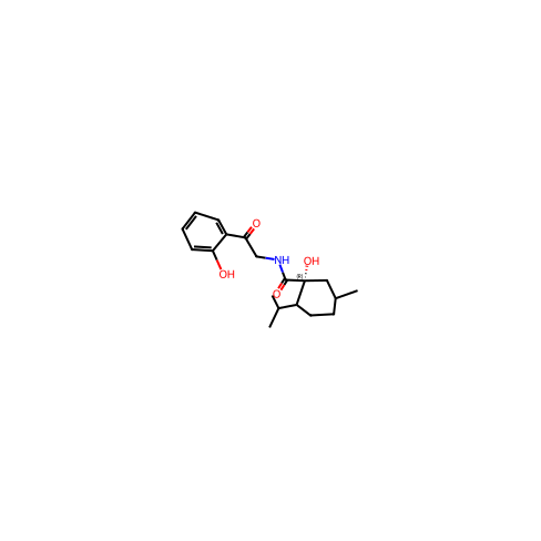 CC1CCC(C(C)C)[C@@](O)(C(=O)NCC(=O)c2ccccc2O)C1